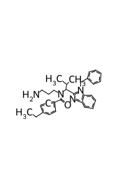 CCc1ccc(C(=O)N(CCCN)C(c2nc3ccccc3n2Cc2ccccc2)C(C)C)cc1